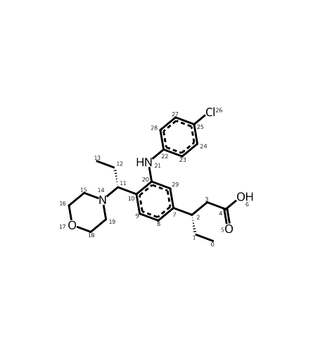 CC[C@@H](CC(=O)O)c1ccc([C@@H](CC)N2CCOCC2)c(Nc2ccc(Cl)cc2)c1